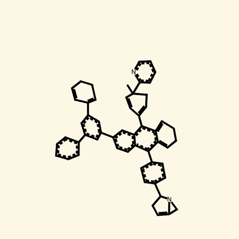 CC1(c2ccccn2)C=CC(c2c3c(c(-c4ccc(C5CC=C6CN65)cc4)c4ccc(-c5cc(C6=CCCC=C6)cc(-c6ccccc6)c5)cc24)=CCCC=3)=CC1